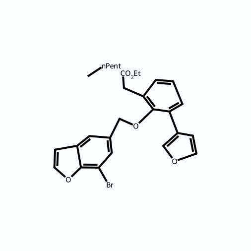 CCCCCC.CCOC(=O)Cc1cccc(-c2ccoc2)c1OCc1cc(Br)c2occc2c1